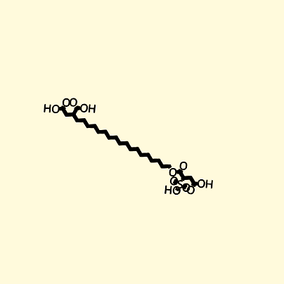 O=C(O)CC(CCCCCCCCCCCCCCCCCCOC(=O)C(CC(=O)O)S(=O)(=O)O)C(=O)O